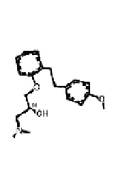 COc1ccc(CCc2ccccc2OC[C@@H](O)CN(C)C)cc1